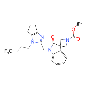 CC(C)OC(=O)N1CC2(C1)C(=O)N(Cc1nc3c(n1CCCC(F)(F)F)CCC3)c1ccccc12